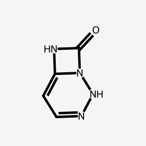 O=c1[nH]c2ccn[nH]n1-2